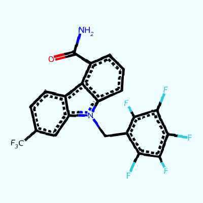 NC(=O)c1cccc2c1c1[c]cc(C(F)(F)F)cc1n2Cc1c(F)c(F)c(F)c(F)c1F